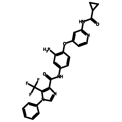 O=C(Nc1ccc(Oc2ccnc(NC(=O)C3CC3)c2)c(P)c1)c1ncn(-c2ccccc2)c1C(F)(F)F